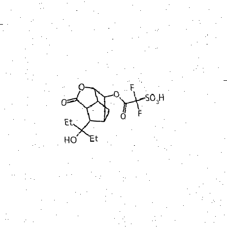 CCC(O)(CC)C1C2CC3C(OC(=O)C31)C2OC(=O)C(F)(F)S(=O)(=O)O